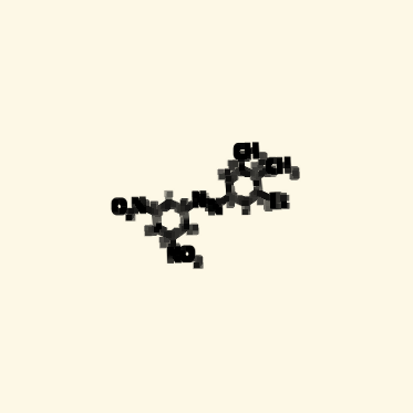 CCc1cc(N=Nc2cc([N+](=O)[O-])cc([N+](=O)[O-])c2)cc(C)c1C